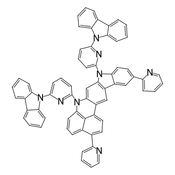 c1ccc(-c2ccc3c(c2)c2cc4c(cc2n3-c2cccc(-n3c5ccccc5c5ccccc53)n2)N(c2cccc(-n3c5ccccc5c5ccccc53)n2)c2cccc3c(-c5ccccn5)ccc-4c23)nc1